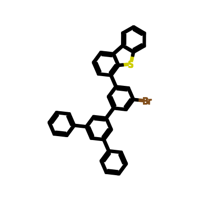 Brc1cc(-c2cc(-c3ccccc3)cc(-c3ccccc3)c2)cc(-c2cccc3c2sc2ccccc23)c1